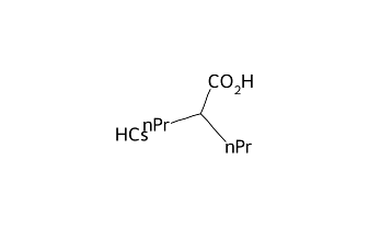 CCCC(CCC)C(=O)O.[CsH]